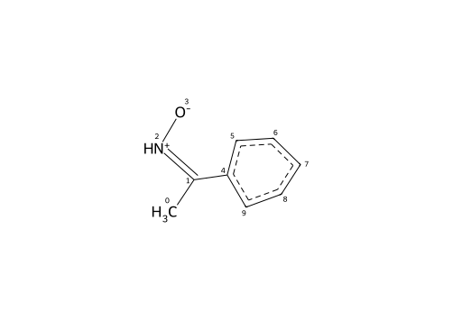 C/C(=[NH+]/[O-])c1ccccc1